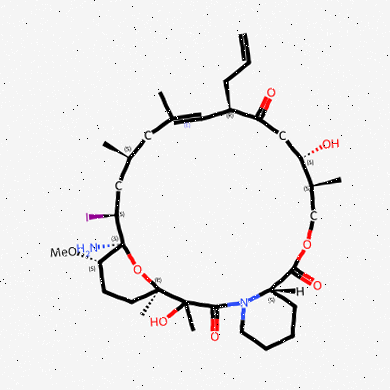 C=CC[C@@H]1/C=C(\C)C[C@H](C)C[C@H](I)[C@@]2(N)O[C@](C)(CC[C@@H]2OC)C(C)(O)C(=O)N2CCCC[C@H]2C(=O)OC[C@H](C)[C@@H](O)CC1=O